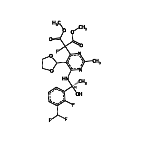 COC(=O)C(F)(C(=O)OC)c1nc(C)nc(N[C@@](C)(O)c2cccc(C(F)F)c2F)c1C1OCCO1